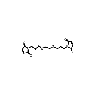 O=C1C=CC(=O)N1CCCOCCOCCCN1C(=O)C=CC1=O